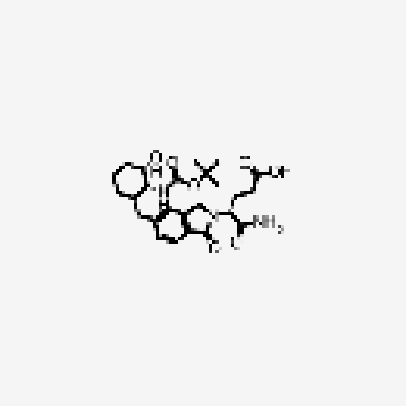 CC(C)(C)OC(=O)N[C@@H]1[C@@H](Cc2ccc3c(c2)CN([C@@H](CCC(=O)O)C(N)=O)C3=O)CCC[C@@H]1O